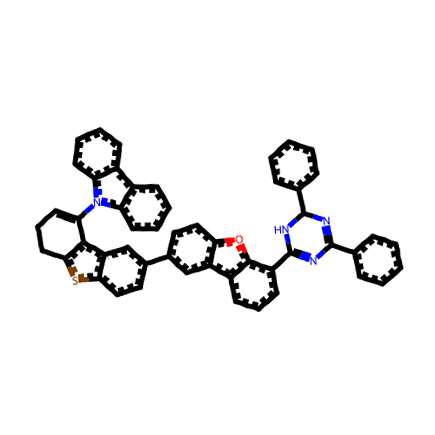 C1=C(n2c3ccccc3c3ccccc32)c2c(sc3ccc(-c4ccc5oc6c(C7=NC(c8ccccc8)=NC(c8ccccc8)N7)cccc6c5c4)cc23)CC1